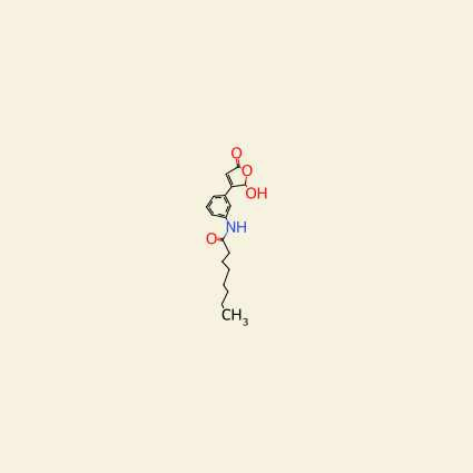 CCCCCCCC(=O)Nc1cccc(C2=CC(=O)OC2O)c1